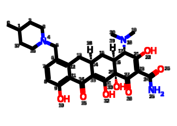 CC1CCN(Cc2ccc(O)c3c2C[C@H]2C[C@H]4[C@H](N(C)C)C(O)=C(C(N)=O)C(=O)[C@@]4(O)C(O)=C2C3=O)CC1